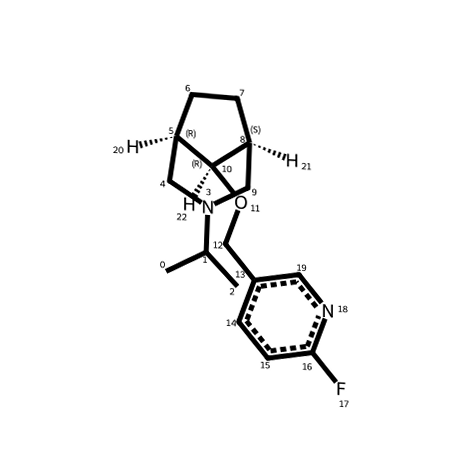 CC(C)N1C[C@H]2CC[C@@H](C1)[C@H]2OCc1ccc(F)nc1